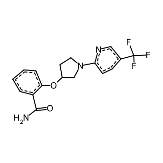 NC(=O)c1ccccc1OC1CCN(c2ccc(C(F)(F)F)cn2)C1